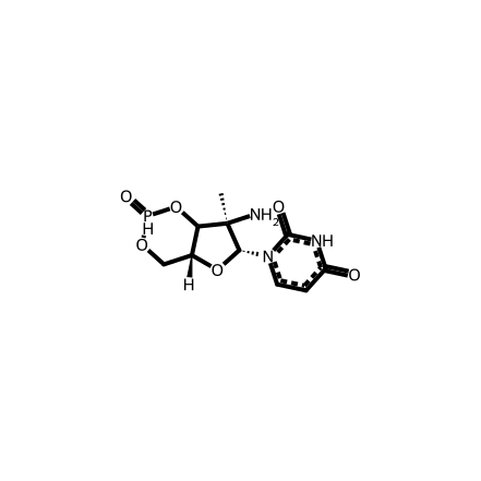 C[C@@]1(N)C2O[PH](=O)OC[C@H]2O[C@H]1n1ccc(=O)[nH]c1=O